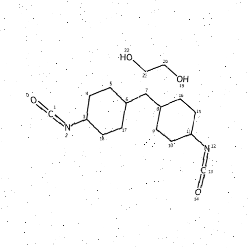 O=C=NC1CCC(CC2CCC(N=C=O)CC2)CC1.OCCO